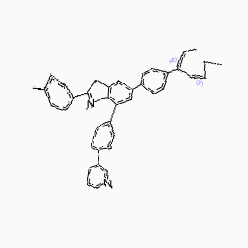 C/C=C(\C=C/CC)c1ccc(-c2cc3c(c(-c4ccc(-c5cccnc5)cc4)c2)N=C(c2ccc(C)cc2)C3)cc1